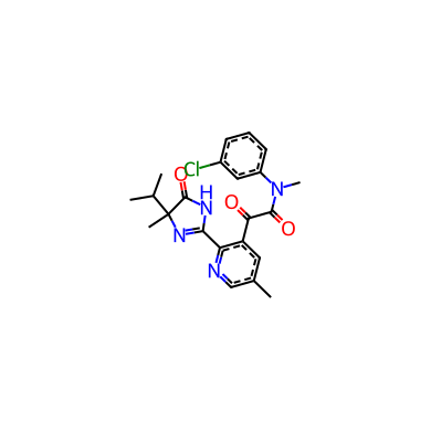 Cc1cnc(C2=NC(C)(C(C)C)C(=O)N2)c(C(=O)C(=O)N(C)c2cccc(Cl)c2)c1